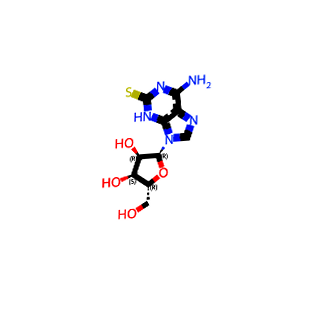 Nc1nc(=S)[nH]c2c1ncn2[C@@H]1O[C@H](CO)[C@@H](O)[C@H]1O